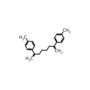 C=C(CCCCC(=C)c1ccc(C)cc1)c1ccc(C)cc1